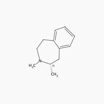 C[C@H]1Cc2ccccc2CCN1C